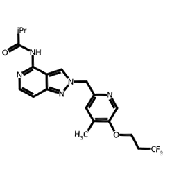 Cc1cc(Cn2cc3c(NC(=O)C(C)C)nccc3n2)ncc1OCCC(F)(F)F